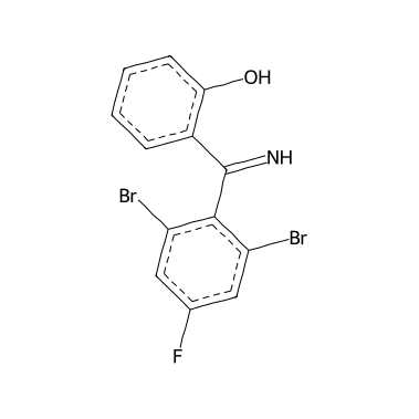 N=C(c1ccccc1O)c1c(Br)cc(F)cc1Br